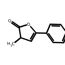 CC1C=C(c2ccccc2)OC1=O